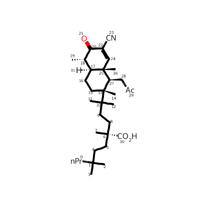 CCCC(C)(C)CC[C@@](C)(CCC(C)(C)[C@]1(C)CC[C@H]2[C@H](C)C(=O)C(C#N)=C[C@]2(C)[C@H]1CC(C)=O)C(=O)O